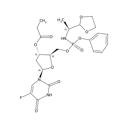 CCC(=O)O[C@H]1C[C@H](n2cc(F)c(=O)[nH]c2=O)O[C@@H]1COP(=O)(N[C@@H](C)C1OCCO1)Oc1ccccc1